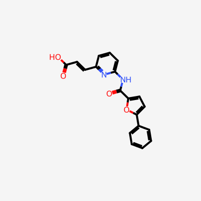 O=C(O)C=Cc1cccc(NC(=O)c2ccc(-c3ccccc3)o2)n1